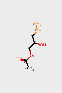 CC(=O)OCC(O)CPP